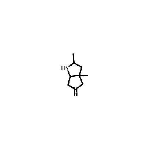 CC1CC2(C)CNCC2N1